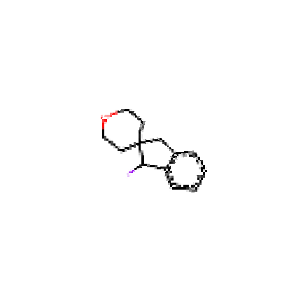 IC1c2ccccc2CC12CCOCC2